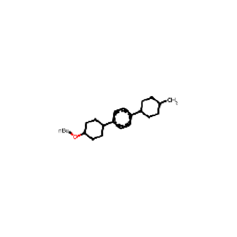 CCCCOC1CCC(c2ccc(C3CCC(C)CC3)cc2)CC1